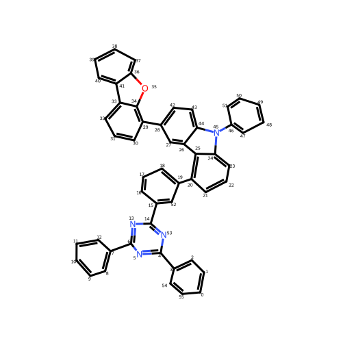 c1ccc(-c2nc(-c3ccccc3)nc(-c3cccc(-c4cccc5c4c4cc(-c6cccc7c6oc6ccccc67)ccc4n5-c4ccccc4)c3)n2)cc1